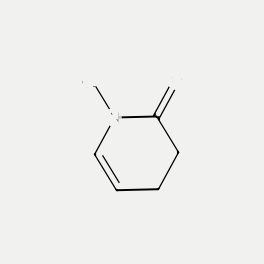 O=C1CCC=CN1Cl